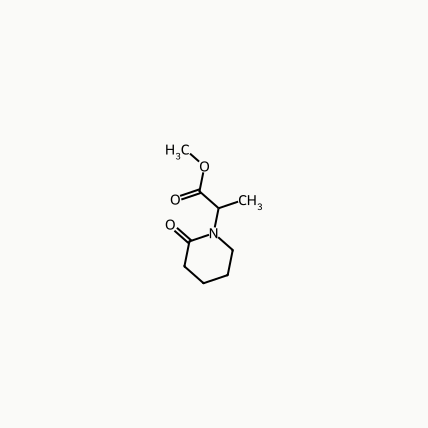 COC(=O)C(C)N1CCCCC1=O